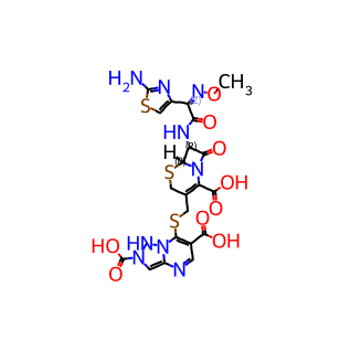 CO/N=C(\C(=O)N[C@@H]1C(=O)N2C(C(=O)O)=C(CSC3=C(C(=O)O)C=NC4=CN(C(=O)O)NN43)CS[C@H]12)c1csc(N)n1